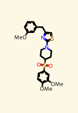 COc1cccc(Cc2csc(N3CCC(S(=O)(=O)c4ccc(OC)c(OC)c4)CC3)n2)c1